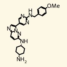 COc1ccc(CNc2ncc(-c3cnc4ccc(N[C@H]5CC[C@H](N)CC5)nn34)cn2)cc1